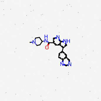 CN1CCC(NC(=O)c2cnc3[nH]cc(-c4ccc5ncncc5c4)c3c2)CC1